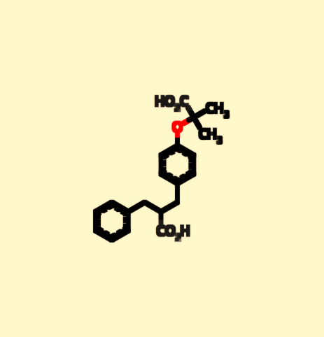 CC(C)(Oc1ccc(CC(Cc2ccccc2)C(=O)O)cc1)C(=O)O